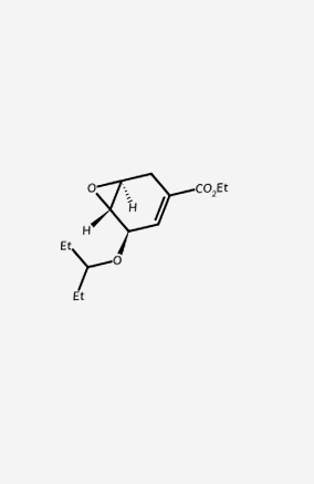 CCOC(=O)C1=C[C@@H](OC(CC)CC)[C@@H]2O[C@H]2C1